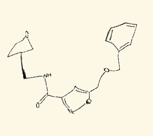 O=C(NC[C@H]1CCOC1)c1cc(COCc2ccccc2)on1